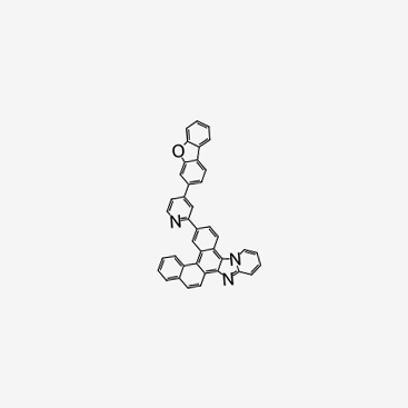 c1ccc2c(c1)ccc1c3nc4ccccn4c3c3ccc(-c4cc(-c5ccc6c(c5)oc5ccccc56)ccn4)cc3c21